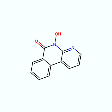 O=c1c2ccccc2c2cccnc2n1O